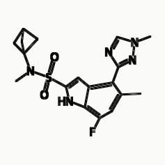 Cc1cc(F)c2[nH]c(S(=O)(=O)N(C)C34CC(C3)C4)cc2c1-c1ncn(C)n1